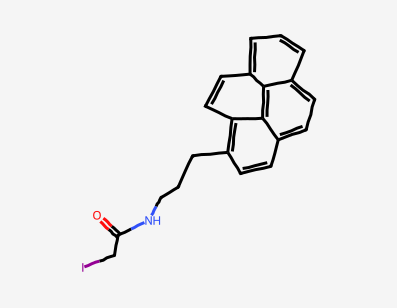 O=C(CI)NCCCc1ccc2ccc3cccc4ccc1c2c34